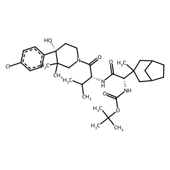 CC(C)[C@@H](NC(=O)[C@@H](NC(=O)OC(C)(C)C)C1(C)CC2CCC(C2)C1)C(=O)N1CC[C@](O)(c2ccc(Cl)cc2)C(C)(C)C1